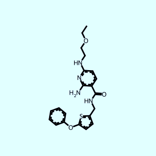 CCOCCNc1ccc(C(=O)NCc2ccc(Oc3ccccc3)s2)c(N)n1